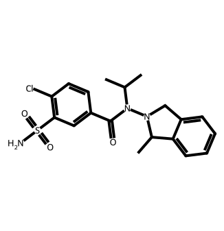 CC1c2ccccc2CN1N(C(=O)c1ccc(Cl)c(S(N)(=O)=O)c1)C(C)C